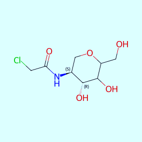 O=C(CCl)N[C@H]1COC(CO)C(O)[C@@H]1O